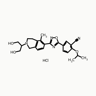 Cc1c(-c2noc(-c3ccc(OC(C)C)c(C#N)c3)n2)ccc2c1CCN(C(CO)CO)C2.Cl